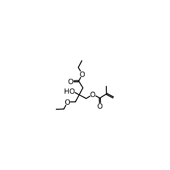 C=C(C)C(=O)OCC(O)(COCC)CC(=O)OCC